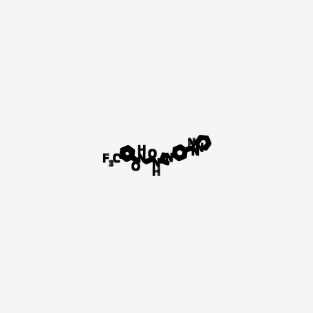 O=C(CNC(=O)c1cccc(C(F)(F)F)c1)NC1CN(C2CCC(c3nc4n(n3)CCCC4)CC2)C1